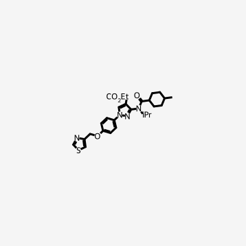 CCOC(=O)c1cn(-c2ccc(OCc3cscn3)cc2)nc1N(C(=O)C1CCC(C)CC1)C(C)C